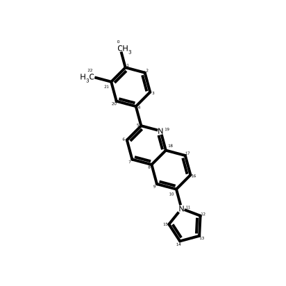 Cc1ccc(-c2ccc3cc(-n4cccc4)ccc3n2)cc1C